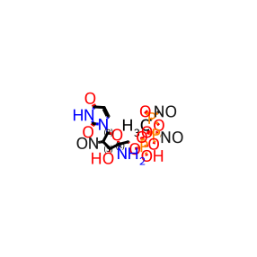 CP(=O)(N=O)OP(=O)(N=O)OP(=O)(O)OC[C@@]1(N)O[C@@H](n2ccc(=O)[nH]c2=O)C(N=O)[C@@H]1O